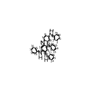 c1ccc(Nc2ccc3nc4cc(Nc5ccccc5)c(Nc5ccccc5)cc4[n+](-c4ccccc4)c3c2)cc1